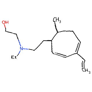 C=CC1=CCC(C)C(CCN(CC)CCO)C=C1